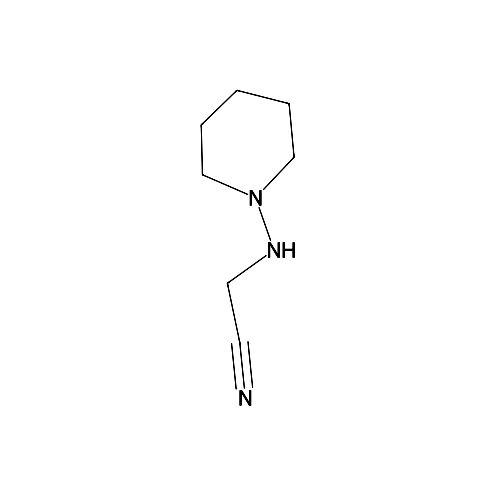 N#CCNN1CCCCC1